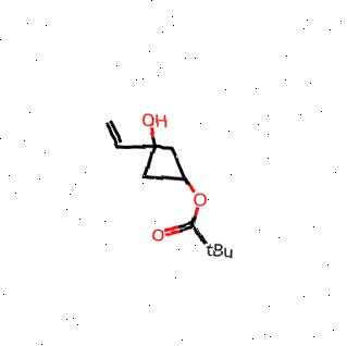 C=CC1(O)CC(OC(=O)C(C)(C)C)C1